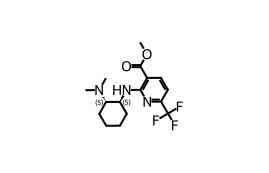 COC(=O)c1ccc(C(F)(F)F)nc1N[C@H]1CCCC[C@@H]1N(C)C